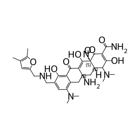 Cc1cc(CNCc2cc(N(C)C)c3c(c2O)C(=O)C2=C(O)[C@]4(N=O)C(=O)C(C(N)=O)=C(O)C(N(C)C)[C@@H]4C[C@]2(N)C3)oc1C